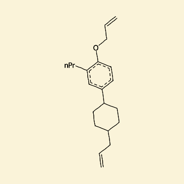 C=CCOc1ccc(C2CCC(CC=C)CC2)cc1CCC